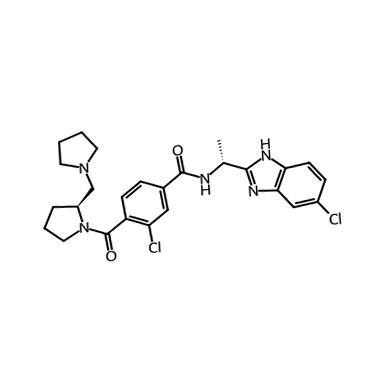 C[C@@H](NC(=O)c1ccc(C(=O)N2CCC[C@H]2CN2CCCC2)c(Cl)c1)c1nc2cc(Cl)ccc2[nH]1